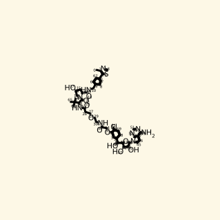 Cc1ncsc1-c1ccc(CNC(=O)[C@@H]2C[C@@H](O)CN2C(=O)[C@@H](NC(=O)CCOCCNC(=O)COc2cc([C@@H](O)[C@H]3O[C@@H](n4ccc5c(N)ncnc54)[C@H](O)[C@@H]3O)ccc2Cl)C(C)(C)C)cc1